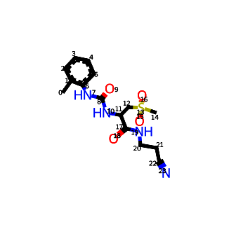 Cc1ccccc1NC(=O)NC(CS(C)(=O)=O)C(=O)NCCC#N